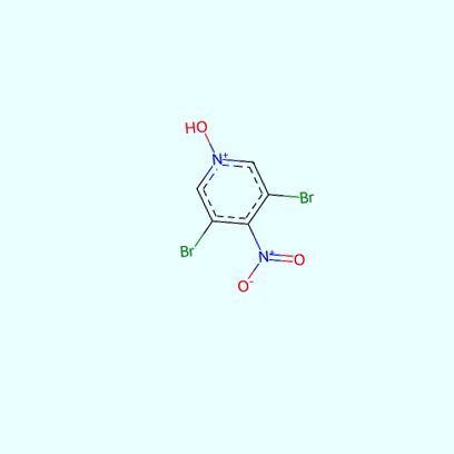 O=[N+]([O-])c1c(Br)c[n+](O)cc1Br